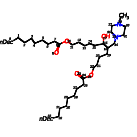 CCCCCCCCCCCCCCCCCC(=O)OCCCCCC(O)C(CCCCOC(=O)CCCCCCCCCCCCCCCCC)CN1CCN(C)CC1